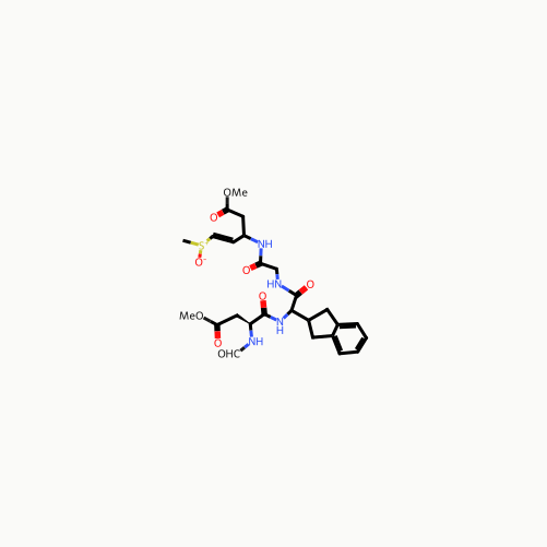 COC(=O)CC(/C=C/[S+](C)[O-])NC(=O)CNC(=O)C(NC(=O)[C@H](CC(=O)OC)NC=O)C1Cc2ccccc2C1